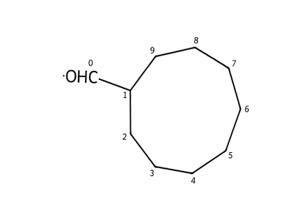 O=[C]C1CCCCCCCC1